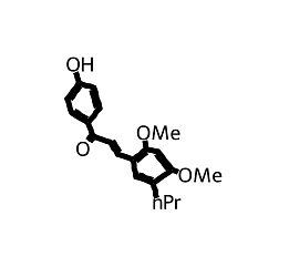 CCCc1cc(C=CC(=O)c2ccc(O)cc2)c(OC)cc1OC